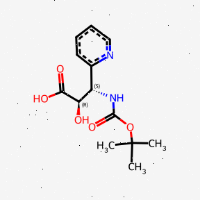 CC(C)(C)OC(=O)N[C@@H](c1ccccn1)[C@@H](O)C(=O)O